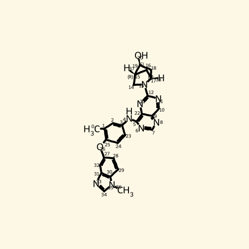 Cc1cc(Nc2ncnc3cnc(N4C[C@H]5C[C@@H]4C[C@@H]5O)nc23)ccc1Oc1ccc2c(c1)ncn2C